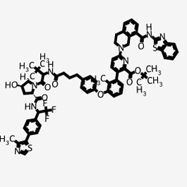 Cc1ncsc1-c1ccc(C(NC(=O)[C@@H]2C[C@@H](O)CN2C(=O)C(NC(=O)CCCc2ccc(Oc3cccc(-c4ccc(N5CCc6cccc(C(=O)Nc7nc8ccccc8s7)c6C5)nc4C(=O)OC(C)(C)C)c3C)cc2)C(C)(C)C)C(F)(F)F)cc1